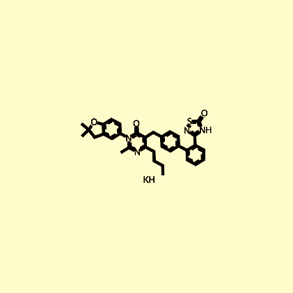 CCCCc1nc(C)n(-c2ccc3c(c2)CC(C)(C)O3)c(=O)c1Cc1ccc(-c2ccccc2-c2nsc(=O)[nH]2)cc1.[KH]